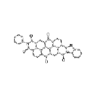 O=c1c2ccc3c4c(cc5c(=O)c6ccc7c(=O)n(-c8ccccc8)c(=O)c8cc1c(c6c78)c5c24)c(=O)n1c2ccccc2nc31